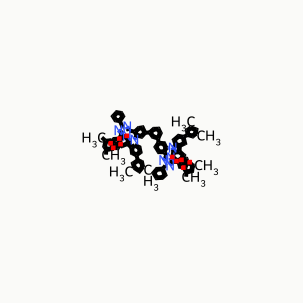 Cc1cc(C)cc(-c2ccc3c(c2)c2cc(-c4cc(C)cc(C)c4)ccc2n3-c2cc(-c3cccc(-c4ccc(-c5nc(-c6ccccc6)nc(-c6ccccc6)n5)c(-n5c6ccc(-c7cc(C)cc(C)c7)cc6c6cc(-c7cc(C)cc(C)c7)ccc65)c4)c3)ccc2-c2nc(-c3ccccc3)nc(-c3ccccc3)n2)c1